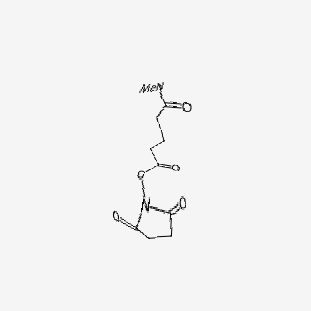 CNC(=O)CCCC(=O)ON1C(=O)CCC1=O